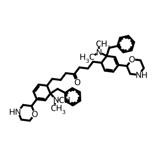 CN(C)C1(Cc2ccccc2)C=C(C2CNCCO2)C=CC1CCCC(=O)CCCC1C=CC(C2CNCCO2)=CC1(Cc1ccccc1)N(C)C